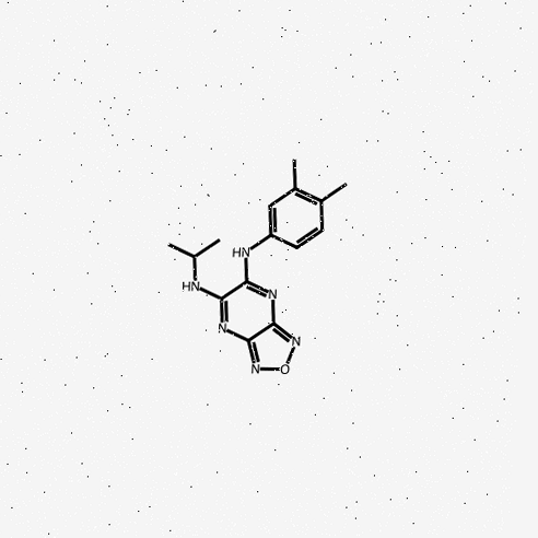 Cc1ccc(Nc2nc3nonc3nc2NC(C)C)cc1C